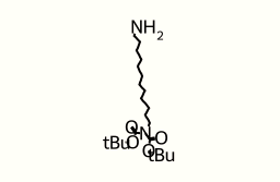 CC(C)(C)OC(=O)N(CCCCCCCCCCCCN)C(=O)OC(C)(C)C